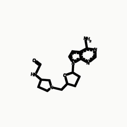 Nc1ncnc2c1ccn2C1CCC(CN2CCC(NC=O)C2)O1